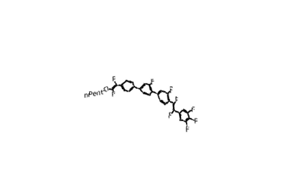 CCCCCO/C(F)=C(\F)c1ccc(-c2ccc(-c3ccc(/C(F)=C(\F)c4cc(F)c(F)c(F)c4)c(F)c3)c(F)c2)cc1